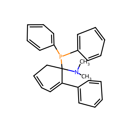 CN(C)C1(P(c2ccccc2)c2ccccc2)CC=CC=C1c1ccccc1